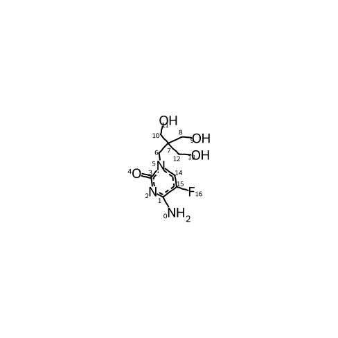 Nc1nc(=O)n(CC(CO)(CO)CO)cc1F